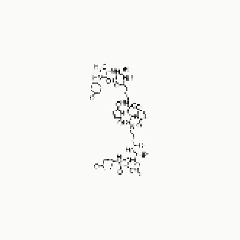 CC(C)[C@H](NC(=O)CCCNC(=O)C(C(C(=O)NCCCC(=O)N[C@H](C(=O)N[C@@H](C)C(=O)NC1CCC(=O)CC1)C(C)C)N1C(=O)C=CC1=O)N1C(=O)C=CC1=O)C(=O)N[C@@H](C)C(=O)NC1CCC(=O)CC1